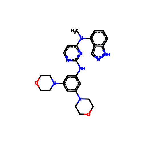 CN(c1ccnc(Nc2cc(N3CCOCC3)cc(N3CCOCC3)c2)n1)c1cccc2[nH]ncc12